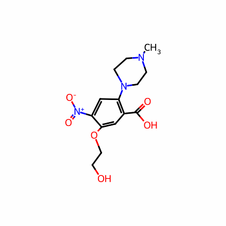 CN1CCN(c2cc([N+](=O)[O-])c(OCCO)cc2C(=O)O)CC1